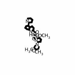 COc1ccc(N2CCC(C)(OC)CC2)nc1S(=O)(=O)NC(=O)c1ccc2c(-c3ccccn3)cccc2n1